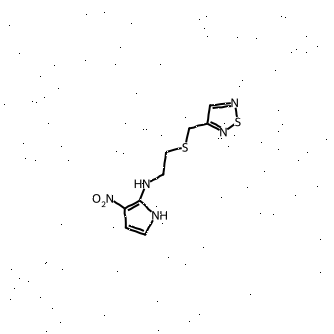 O=[N+]([O-])c1cc[nH]c1NCCSCc1cnsn1